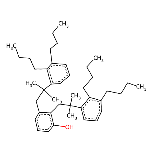 CCCCc1cccc(C(C)(C)Cc2cccc(O)c2CC(C)(C)c2cccc(CCCC)c2CCCC)c1CCCC